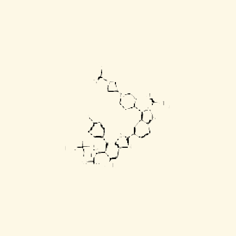 CC(=O)N1CC(N2CCC(c3c4cc(-c5nc6cc(C)c([C@H](OC(C)(C)C)C(=O)O)c(-c7ccc(Cl)cc7)c6s5)ccc4nn3C(C)=O)CC2)C1